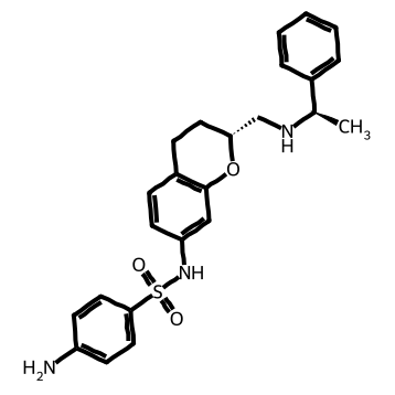 C[C@@H](NC[C@H]1CCc2ccc(NS(=O)(=O)c3ccc(N)cc3)cc2O1)c1ccccc1